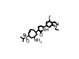 CCn1ncc2c(F)cc(-c3ccc(C4C/C=C\C(S(=O)(=O)C(C)C)CC(N)C4)c(=O)[nH]3)cc21